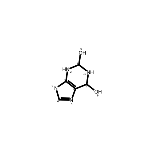 OC1NC2=C(N=C[N]2)C(O)N1